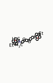 C=C/C(=C\c1cc2oc3cc4c(cc3c2cc1C)oc1cc2cc(N(c3ccccc3)c3cccc5c3c3ccccc3n5CC)ccc2cc14)N(c1ccccc1)c1cccc2c1c1ccccc1n2CC